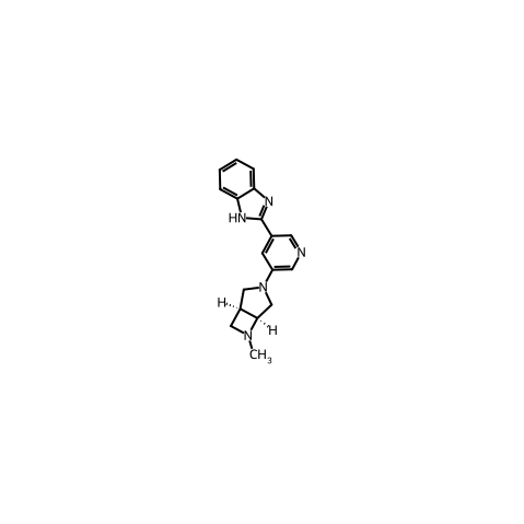 CN1C[C@H]2CN(c3cncc(-c4nc5ccccc5[nH]4)c3)C[C@H]21